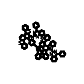 c1ccc(-c2nc(-n3c4ccccc4c4c5c(ccc6sc7ccccc7c65)c5c(c43)-c3ccccc3C53c4ccccc4-c4cc(-c5ccc6c7c8c(ccc9sc%10ccccc%10c98)c8c9ccccc9sc8c7n(-c7nc(-c8ccccc8)c8ccccc8n7)c6c5)ccc43)nc3ccccc23)cc1